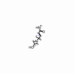 CNC(=O)/C=C/C(C)(C)N1CC(O)C1